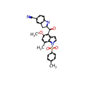 COc1cc(C)c2c(ccn2S(=O)(=O)c2ccc(C)cc2)c1C(=O)C1=Nc2ccc(C#N)cc2C1